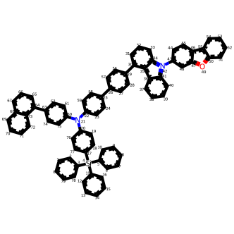 c1ccc([Si](c2ccccc2)(c2ccccc2)c2ccc(N(c3ccc(-c4ccc(-c5cccc6c5c5ccccc5n6-c5ccc6c(c5)oc5ccccc56)cc4)cc3)c3ccc(-c4cccc5ccccc45)cc3)cc2)cc1